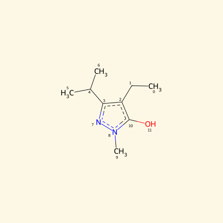 CCc1c(C(C)C)nn(C)c1O